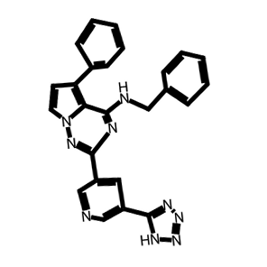 c1ccc(CNc2nc(-c3cncc(-c4nnn[nH]4)c3)nn3ccc(-c4ccccc4)c23)cc1